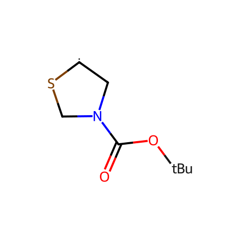 CC(C)(C)OC(=O)N1C[CH]SC1